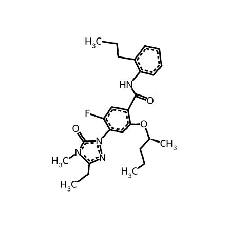 CCCc1ccccc1NC(=O)c1cc(F)c(-n2nc(CC)n(C)c2=O)cc1O[C@@H](C)CCC